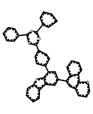 c1ccc(-c2nc(-c3ccccc3)nc(-c3ccc(-c4cc(-c5cc6cccnc6c6ccccc56)cc5c4sc4ccccc45)cc3)n2)cc1